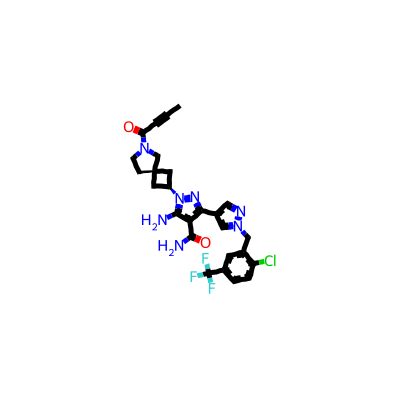 CC#CC(=O)N1CC[C@]2(C1)C[C@H](n1nc(-c3cnn(Cc4cc(C(F)(F)F)ccc4Cl)c3)c(C(N)=O)c1N)C2